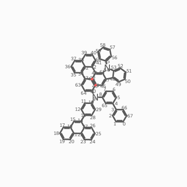 c1ccc(-c2cccc(N(c3ccc(-c4cc5ccccc5c5ccccc45)cc3)c3ccc(-c4cccc5cccc(-c6cccc7c8ccccc8n(-c8ccccc8)c67)c45)cc3)c2)cc1